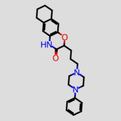 O=C1Nc2cc3c(cc2OC1CCCN1CCN(c2ccccc2)CC1)CCCC3